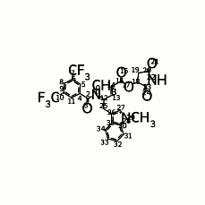 CN(C(=O)c1cc(C(F)(F)F)cc(C(F)(F)F)c1)C(C=CC(=O)OC1CC(=O)NC1=O)Cc1cn(C)c2ccccc12